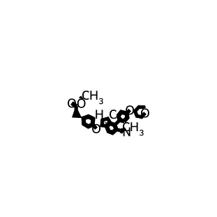 CCOC(=O)C1C[C@@H]1c1ccc(O[C@@H]2CCc3c2ccc(C#N)c3-c2c(C)cc(OC3CCOCC3)cc2C)cc1